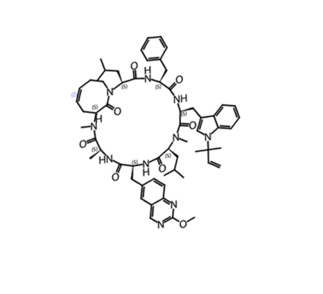 C=CC(C)(C)n1cc(C[C@@H]2NC(=O)[C@H](Cc3ccccc3)NC(=O)[C@H](CC(C)C)N3CC/C=C\C[C@@H](C3=O)N(C)C(=O)[C@H](C)NC(=O)[C@H](Cc3ccc4nc(OC)ncc4c3)NC(=O)[C@H](CC(C)C)N(C)C2=O)c2ccccc21